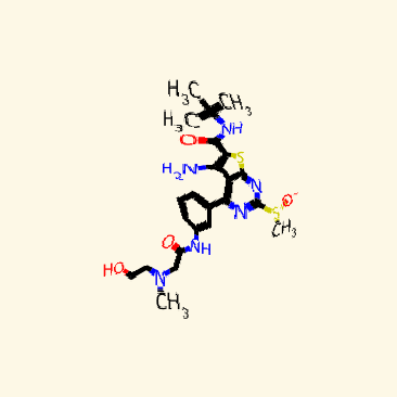 CN(CCO)CC(=O)Nc1cccc(-c2nc([S+](C)[O-])nc3sc(C(=O)NC(C)(C)C)c(N)c23)c1